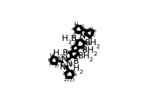 Bc1c(B)c2c(c(B)c1-c1nc(-c3ccccc3)nc(-c3ccccc3)n1)Cc1c(B)c(-n3c4ccccc4c4ccccc43)c(B)c(B)c1-2